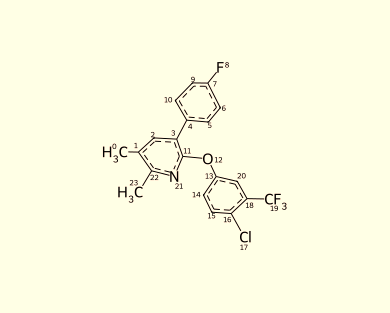 Cc1cc(-c2ccc(F)cc2)c(Oc2ccc(Cl)c(C(F)(F)F)c2)nc1C